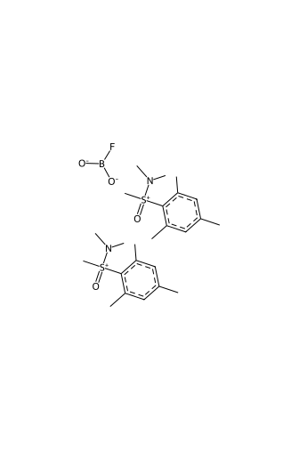 Cc1cc(C)c([S+](C)(=O)N(C)C)c(C)c1.Cc1cc(C)c([S+](C)(=O)N(C)C)c(C)c1.[O-]B([O-])F